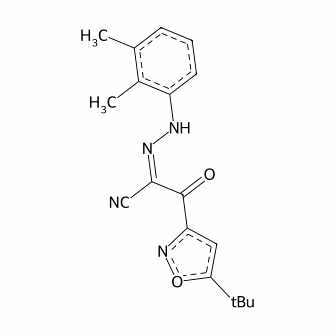 Cc1cccc(NN=C(C#N)C(=O)c2cc(C(C)(C)C)on2)c1C